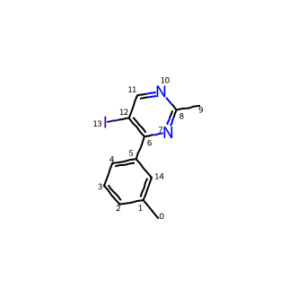 Cc1cccc(-c2nc(C)ncc2I)c1